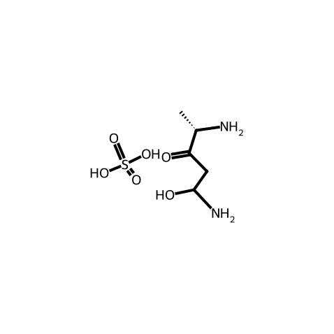 C[C@H](N)C(=O)CC(N)O.O=S(=O)(O)O